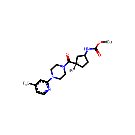 CC(C)[C@]1(C(=O)N2CCN(c3cc(C(F)(F)F)ccn3)CC2)CCC(NC(=O)OC(C)(C)C)C1